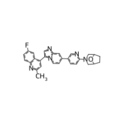 Cc1cc(-c2cnc3cc(-c4ccc(N5CC6CCC(C5)O6)nc4)ccn23)c2cc(F)ccc2n1